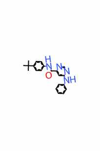 CC(C)(C)c1ccc(NC(=O)c2cc(Nc3ccccc3)ncn2)cc1